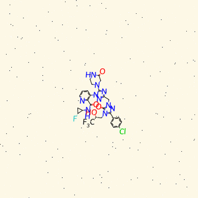 O=C1CN(c2nc(Cn3nc(-c4ccc(Cl)cc4)n(C[C@H](O)C(F)(F)F)c3=O)nn2-c2cccnc2C(=O)N[C@@H]2C[C@H]2F)CCN1